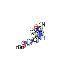 CC(C)(C)OC(=O)N1CCN(c2ccc(Nc3ncc4cc(C#N)c(=O)n(C5CCCC5)c4n3)c(F)c2)CC1